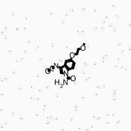 COCCOc1ccc2c(c1)c(N=C=O)cn2C(N)=O